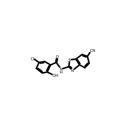 N#Cc1ccc2nc(NC(=O)c3cc(Cl)ccc3O)sc2c1